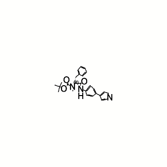 CN(C(=O)OC(C)(C)C)[C@H](Cc1ccccc1)C(=O)Nc1ccc(-c2ccncc2)cc1